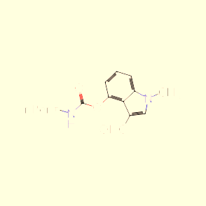 CCCCCNC(=O)Oc1cccc2c1c(C=O)cn2C